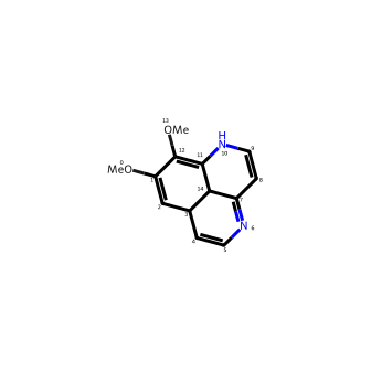 COC1=CC2C=CN=C3C=CNC(=C1OC)C32